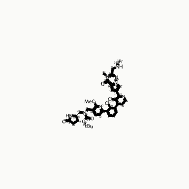 COc1nc(-c2cccc(-c3ccnc(-c4cc5c(=O)n(C)c(CNC(C)C)nn5c4)c3Cl)c2Cl)ccc1CN(C[C@@H]1CCC(=O)N1)C(=O)OC(C)(C)C